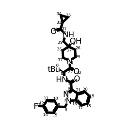 CC(C)(C)[C@H](NC(=O)c1nn(Cc2ccc(F)cc2)c2ccccc12)C(=O)N1CCC(O)(CNC(=O)C2CC2)CC1